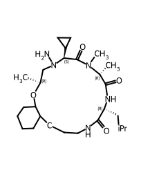 CC(C)C[C@H]1NC(=O)[C@@H](C)N(C)C(=O)[C@H](C2CC2)N(N)C[C@@H](C)OC2CCCCC2CCCNC1=O